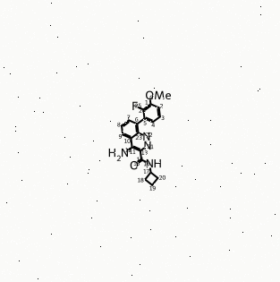 COc1cccc(-c2cccc3c(N)c(C(=O)NC4CCC4)nnc23)c1F